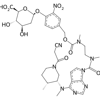 C[C@@H]1CCN(C(=O)CC#N)C[C@@H]1N(C)c1ncnc2c1ccn2C(=O)N(C)CCN(C)C(=O)OCc1ccc(O[C@H]2C[C@@H](O)[C@H](O)[C@@H](C(=O)O)O2)c([N+](=O)[O-])c1